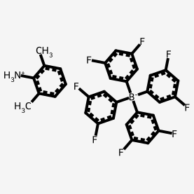 Cc1cccc(C)c1[NH3+].Fc1cc(F)cc([B-](c2cc(F)cc(F)c2)(c2cc(F)cc(F)c2)c2cc(F)cc(F)c2)c1